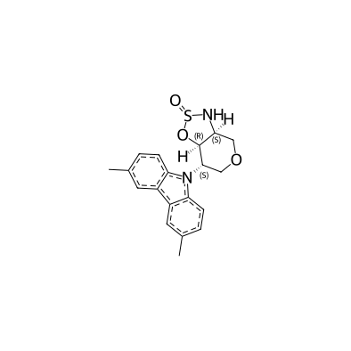 Cc1ccc2c(c1)c1cc(C)ccc1n2[C@H]1COC[C@@H]2NS(=O)O[C@@H]21